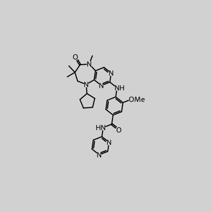 COc1cc(C(=O)Nc2ccncn2)ccc1Nc1ncc2c(n1)N(C1CCCC1)CC(C)(C)C(=O)N2C